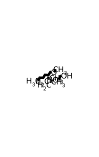 C=CC.C=CC.CCCCCCOC.OCCO